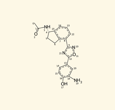 CC(=O)N[C@H]1CCc2c(-c3noc(-c4ccc(O)c(N)c4)n3)cccc21